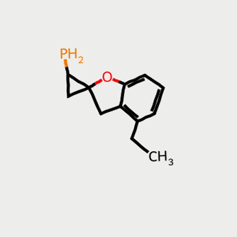 CCc1cccc2c1CC1(CC1P)O2